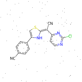 N#C/C(=C1/NC(c2ccc(C#N)cc2)=CS1)c1ccnc(Cl)n1